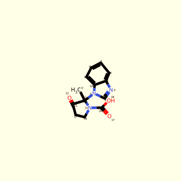 CC1(n2cnc3ccccc32)C(=O)CCN1C(=O)O